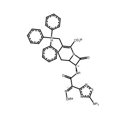 CO/N=C(/C(=O)N[C@@H]1C(=O)N2C(C(=O)O)=C(C[PH](c3ccccc3)(c3ccccc3)c3ccccc3)CCC12)c1nsc(N)n1